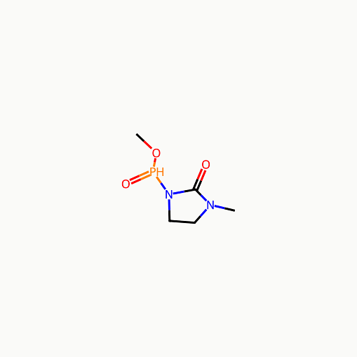 CO[PH](=O)N1CCN(C)C1=O